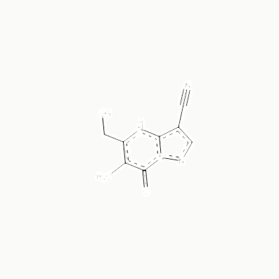 Cc1c(CO)[nH]c2c(C#N)cnn2c1=O